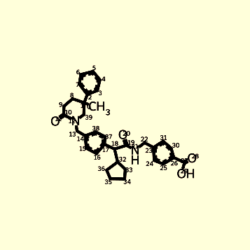 CC1(c2ccccc2)CCC(=O)N(Cc2ccc(C(C(=O)NCc3ccc(C(=O)O)cc3)C3CCCC3)cc2)C1